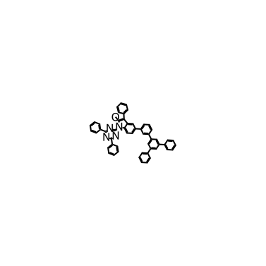 c1ccc(-c2cc(-c3ccccc3)cc(-c3cccc(-c4ccc5c(c4)c4c6ccccc6oc4n5-c4nc(-c5ccccc5)nc(-c5ccccc5)n4)c3)c2)cc1